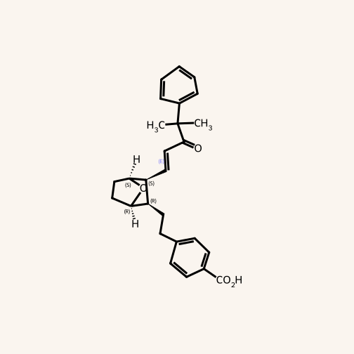 CC(C)(C(=O)/C=C/[C@H]1[C@@H](CCc2ccc(C(=O)O)cc2)[C@H]2CC[C@@H]1O2)c1ccccc1